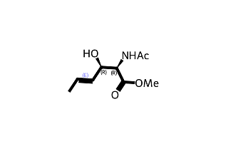 C/C=C/[C@@H](O)[C@@H](NC(C)=O)C(=O)OC